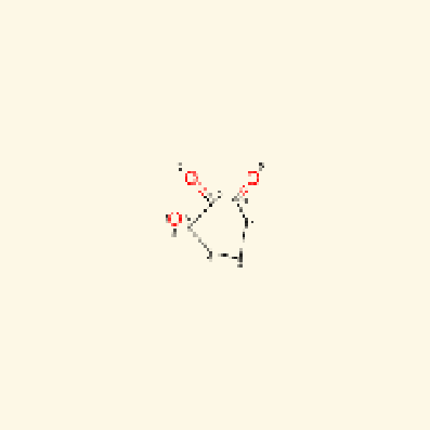 O=C1CCCCC1=O.[O]